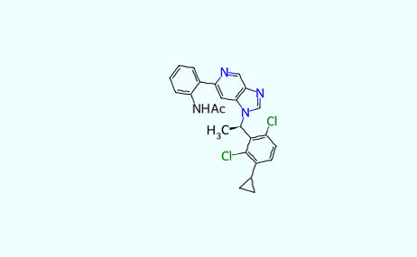 CC(=O)Nc1ccccc1-c1cc2c(cn1)ncn2[C@H](C)c1c(Cl)ccc(C2CC2)c1Cl